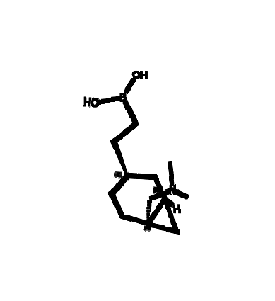 CN(C)C[C@]12CC[C@@H](CCB(O)O)C[C@@H]1C2